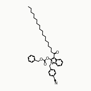 CCCCCCCCCCCCCCCCCC(=O)c1c(OC(=O)OCc2ccccc2)n(Cc2ccc(C#N)cc2)c2ccccc12